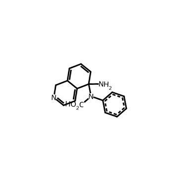 NC1(N(C(=O)O)c2ccccc2)C=CC=C2CN=CC=C21